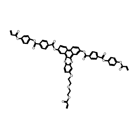 C=CC(=O)OCCOCCOc1ccc2nc3c4cc(OC(=O)c5ccc(C(=O)Oc6ccc(OC(=O)C=C)cc6)cc5)ccc4c4ccc(OC(=O)c5ccc(C(=O)Oc6ccc(OC(=O)C=C)cc6)cc5)cc4c3nc2c1